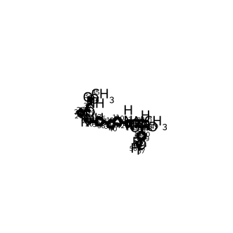 CCCN(Cc1ncc(-c2ccc3cc(-c4ccc(-c5cnc([C@@H]6CCCN6C(=O)CNC(=O)OC)[nH]5)cc4)ccc3c2)[nH]1)C(=O)C(NC=O)c1ccc(OC(F)(F)F)cc1